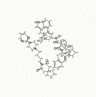 CN1C[C@H](C(=O)N[C@]2(C)O[C@@]3(O)[C@@H]4CCCN4C(=O)[C@H](Cc4ccccc4)N3C2=O)C=C2c3cccc4[nH]cc(c34)C[C@H]21.O=C1CC2(CCCC2)CC(=O)N1CCCCN1CCN(c2ncccn2)CC1